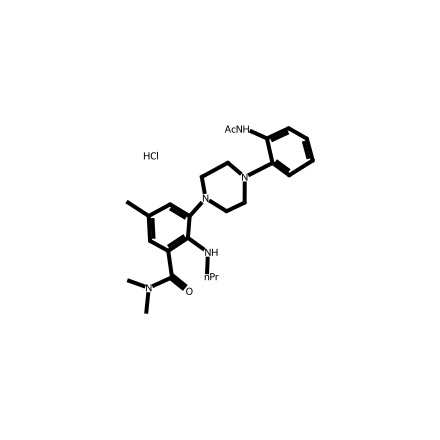 CCCNc1c(C(=O)N(C)C)cc(C)cc1N1CCN(c2ccccc2NC(C)=O)CC1.Cl